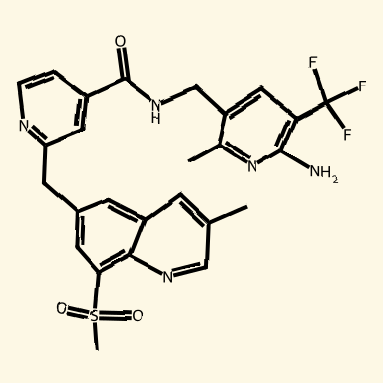 Cc1cnc2c(S(C)(=O)=O)cc(Cc3cc(C(=O)NCc4cc(C(F)(F)F)c(N)nc4C)ccn3)cc2c1